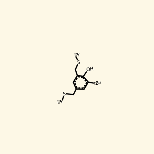 CC(C)SCc1cc(CSC(C)C)c(O)c(C(C)(C)C)c1